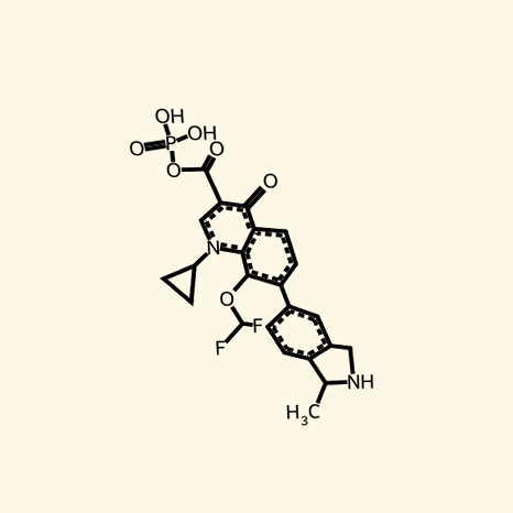 CC1NCc2cc(-c3ccc4c(=O)c(C(=O)OP(=O)(O)O)cn(C5CC5)c4c3OC(F)F)ccc21